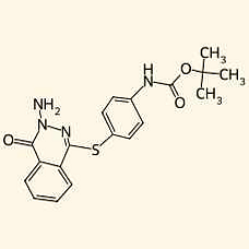 CC(C)(C)OC(=O)Nc1ccc(Sc2nn(N)c(=O)c3ccccc23)cc1